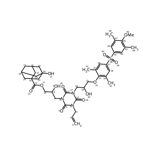 C=CCn1c(=O)n(CC(O)COC(=O)C23CC4CC(CC(O)(C4)C2)C3)c(=O)n(CC(O)COc2c(C)cc(S(=O)(=O)c3cc(C)c(OC)c(C)c3)cc2C)c1=O